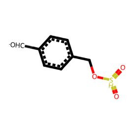 O=[C]c1ccc(CO[SH](=O)=O)cc1